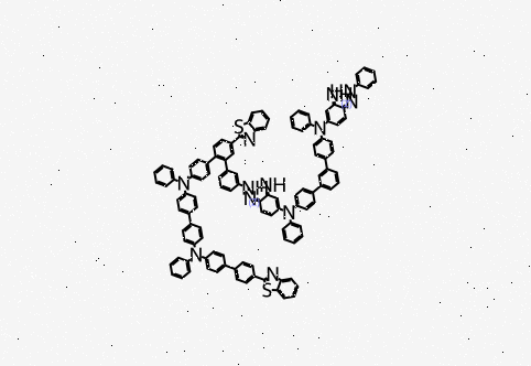 N=C1C=C(N(c2ccccc2)c2ccc(-c3cccc(-c4ccc(N(C5=CC(=N)/C(=N\Nc6cccc(-c7cc(-c8nc9ccccc9s8)ccc7-c7ccc(N(c8ccccc8)c8ccc(-c9ccc(N(c%10ccccc%10)c%10ccc(-c%11ccc(-c%12nc%13ccccc%13s%12)cc%11)cc%10)cc9)cc8)cc7)c6)C=C5)c5ccccc5)cc4)c3)cc2)C=C/C1=N/Nc1ccccc1